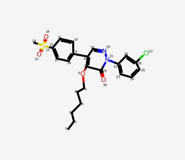 CCCCCCOc1c(-c2ccc(S(C)(=O)=O)cc2)cnn(-c2cccc(Cl)c2)c1=O